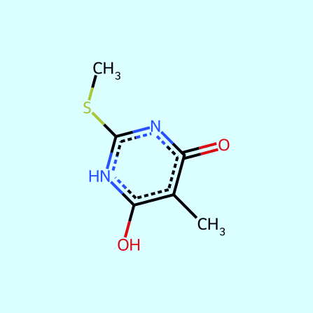 CSc1nc(=O)c(C)c(O)[nH]1